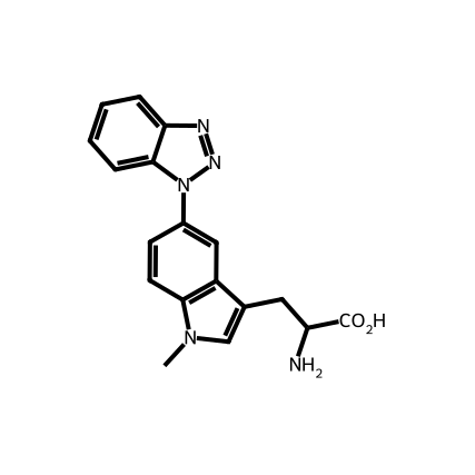 Cn1cc(CC(N)C(=O)O)c2cc(-n3nnc4ccccc43)ccc21